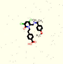 COc1ccc(C(C)N(C)Cc2c(Cl)cc(Cl)c(=O)n2CCc2ccc(C(=O)O)cc2)cc1